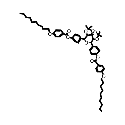 CCCCCCCCCCOc1ccc(C(=O)Oc2ccc([C@H](O[C@@H](c3ccc(OC(=O)c4ccc(OCCCCCCCCCC)cc4)cc3)C3COC(C)(C)O3)C3COC(C)(C)O3)cc2)cc1